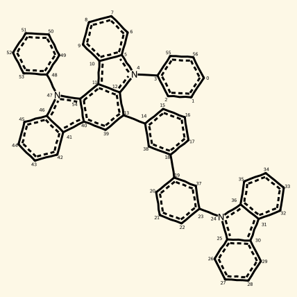 c1ccc(-n2c3ccccc3c3c2c(-c2cccc(-c4cccc(-n5c6ccccc6c6ccccc65)c4)c2)cc2c4ccccc4n(-c4ccccc4)c23)cc1